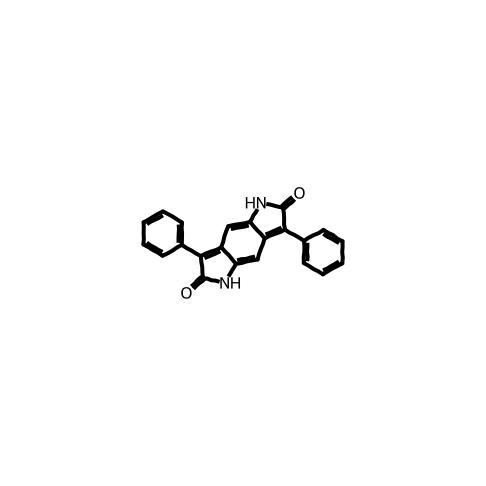 O=C1Nc2cc3c(cc2=C1c1ccccc1)NC(=O)C=3c1ccccc1